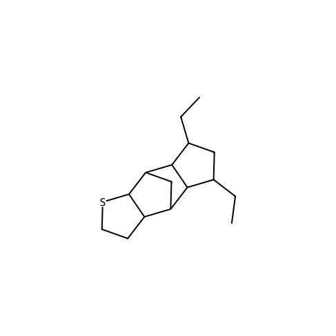 CCC1CC(CC)C2C3CC(C4CCSC43)C12